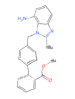 CCCCc1nc2cccc(N)c2n1Cc1ccc(-c2ccccc2C(=O)OC(C)(C)C)cc1